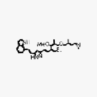 CC/C=C(/C=C/c1cc(/C=C/c2cccc3cc[nH]c23)[nH]n1)C(\OC)=C(\C)COC/C(C)=C/C=N\C